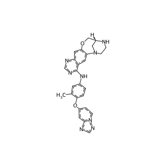 Cc1cc(Nc2ncnc3cc4c(cc23)N2CCN[C@@H](CO4)C2)ccc1Oc1ccn2ncnc2c1